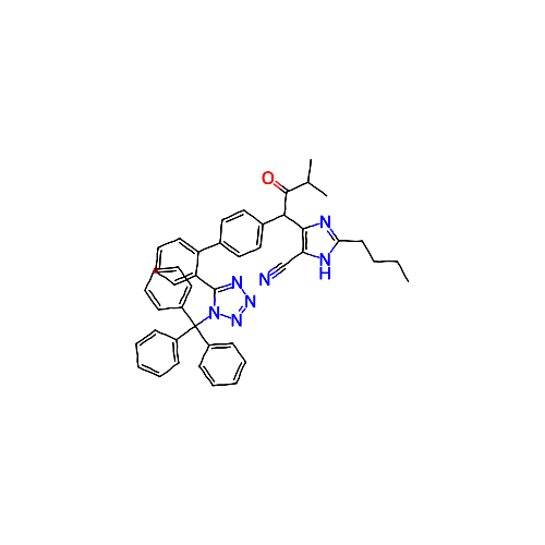 CCCCc1nc(C(C(=O)C(C)C)c2ccc(-c3ccccc3-c3nnnn3C(c3ccccc3)(c3ccccc3)c3ccccc3)cc2)c(C#N)[nH]1